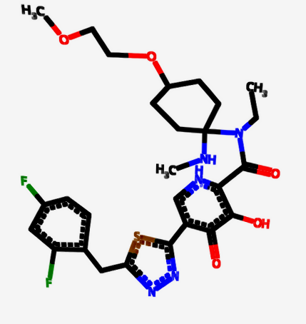 CCN(C(=O)c1[nH]cc(-c2nnc(Cc3ccc(F)cc3F)s2)c(=O)c1O)C1(NC)CCC(OCCOC)CC1